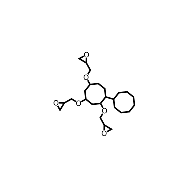 C1CCCC(C2CCC(OCC3CO3)CC(OCC3CO3)CC2OCC2CO2)CCC1